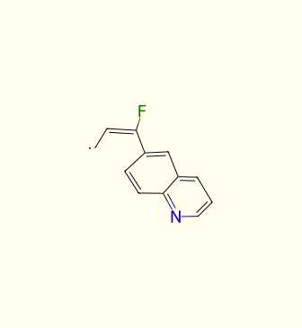 [CH2]/C=C(/F)c1ccc2ncccc2c1